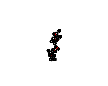 c1ccc(-c2ccc(N(c3ccc4c(c3)C3(c5ccccc5-c5ccccc53)c3ccccc3-4)c3c(-c4ccc(-c5cccc(-c6ccc7c(c6)-c6ccccc6C76c7ccccc7-c7ccc(N(c8ccccc8)c8c(-c9cccc(-c%10ccccc%10)c9)c9ccccc9c9ccccc89)cc76)c5)cc4)c4ccccc4c4ccccc34)cc2)cc1